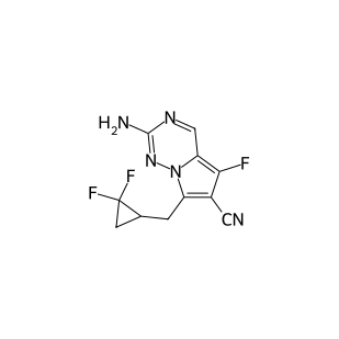 N#Cc1c(F)c2cnc(N)nn2c1CC1CC1(F)F